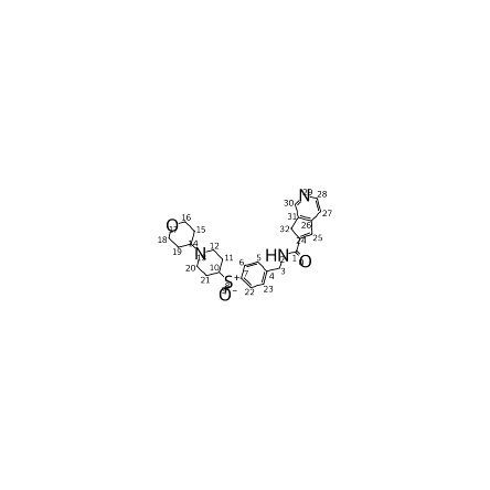 O=C(NCc1ccc([S+]([O-])C2CCN(C3CCOCC3)CC2)cc1)C1=Cc2ccncc2C1